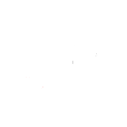 C[C@]1(C#N)CC1CC1CCS(=O)(=O)CC1